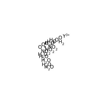 O.O.O.O.O.O.O.O.O.O=[N+]([O-])[O-].O=[N+]([O-])[O-].O=[N+]([O-])[O-].[Y+3]